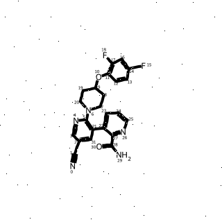 N#Cc1cnc(N2CCC(Oc3ccc(F)cc3F)CC2)c(-c2cccnc2C(N)=O)c1